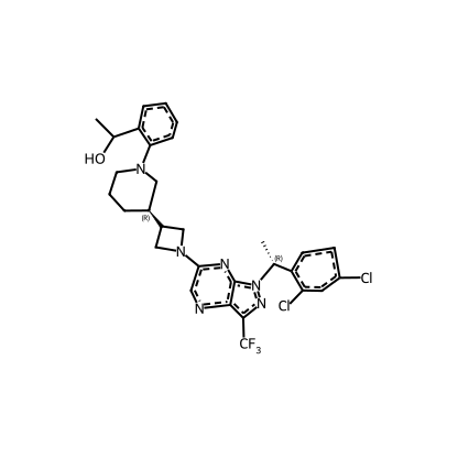 CC(O)c1ccccc1N1CCC[C@H](C2CN(c3cnc4c(C(F)(F)F)nn([C@H](C)c5ccc(Cl)cc5Cl)c4n3)C2)C1